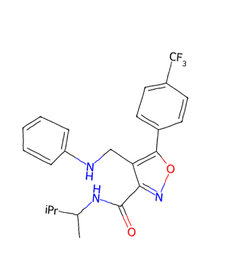 CC(C)C(C)NC(=O)c1noc(-c2ccc(C(F)(F)F)cc2)c1CNc1ccccc1